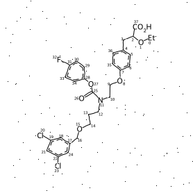 CCOC(Cc1ccc(OCCN(CCCOCc2cc(Cl)cc(Cl)c2)C(=O)Oc2ccc(F)cc2)cc1)C(=O)O